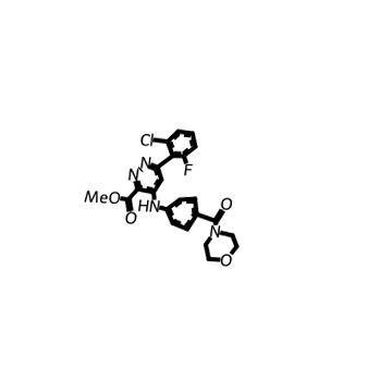 COC(=O)c1nnc(-c2c(F)cccc2Cl)cc1Nc1ccc(C(=O)N2CCOCC2)cc1